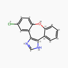 Clc1ccc2c(c1)-c1nc[nH]c1-c1ccccc1O2